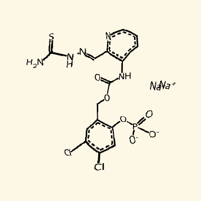 NC(=S)NN=Cc1ncccc1NC(=O)OCc1cc(Cl)c(Cl)cc1OP(=O)([O-])[O-].[Na+].[Na+]